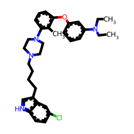 CCN(CC)c1cccc(Oc2cccc(N3CCN(CCCCc4c[nH]c5ccc(Cl)cc45)CC3)c2C)c1